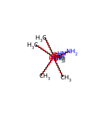 CCCCCCCCCCCCCCCC(=O)N(C(=O)CCCCCCCCCCCCCCC)C(C(=O)CCCCCCCCCCCCCCC)(C(=O)CCCCCCCCCCCCCCC)C(C)(C)C(C)(C)NCCCCNCCCN